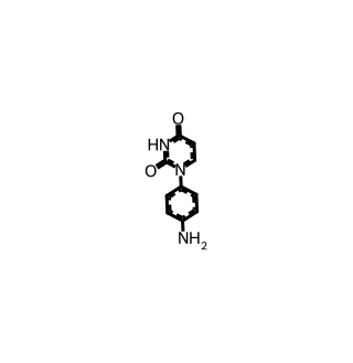 Nc1ccc(-n2ccc(=O)[nH]c2=O)cc1